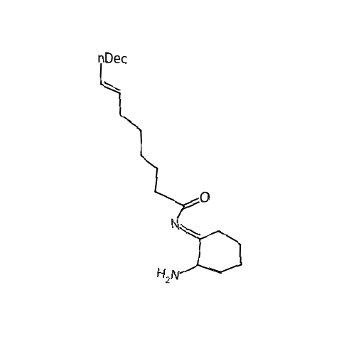 CCCCCCCCCC/C=C/CCCCCC(=O)/N=C1\CCCCC1N